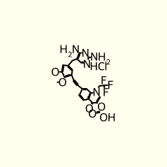 COc1cc(Cc2cnc(N)nc2N)cc(C#Cc2ccc3c(=O)c(OC(=O)O)cn(CC(F)(F)F)c3c2)c1OC.Cl